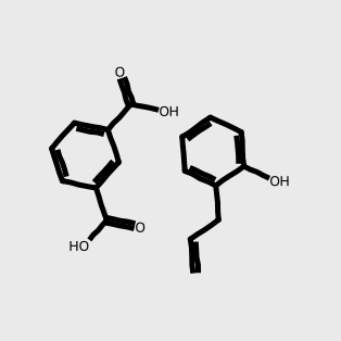 C=CCc1ccccc1O.O=C(O)c1cccc(C(=O)O)c1